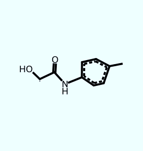 Cc1ccc(NC(=O)[CH]O)cc1